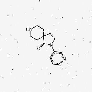 O=C1N(c2ccnnc2)CCC12CCNCC2